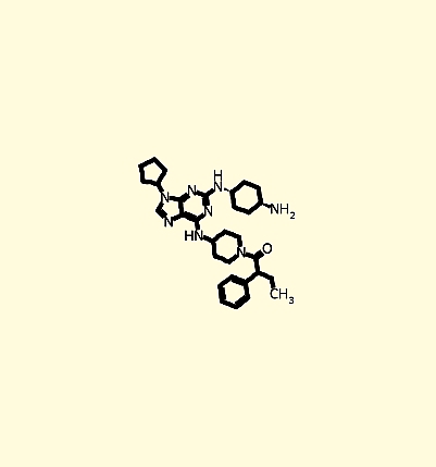 CCC(C(=O)N1CCC(Nc2nc(N[C@H]3CC[C@H](N)CC3)nc3c2ncn3C2CCCC2)CC1)c1ccccc1